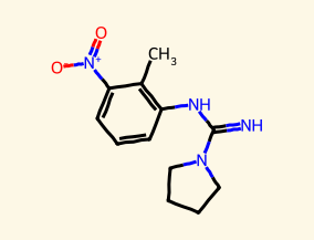 Cc1c(NC(=N)N2CCCC2)cccc1[N+](=O)[O-]